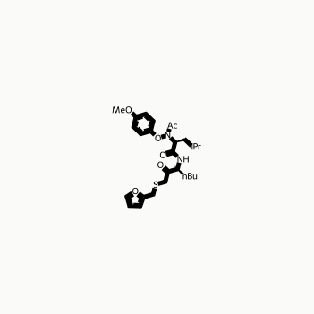 CCCC[C@H](NC(=O)[C@H](CC(C)C)N(Oc1ccc(OC)cc1)C(C)=O)C(=O)CSCc1ccco1